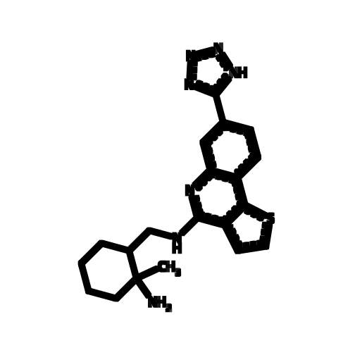 CC1(N)CCCCC1CNc1nc2cc(-c3nnn[nH]3)ccc2c2sccc12